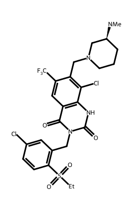 CCS(=O)(=O)c1ccc(Cl)cc1Cn1c(=O)[nH]c2c(Cl)c(CN3CCC[C@H](NC)C3)c(C(F)(F)F)cc2c1=O